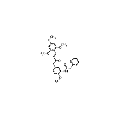 COc1cc(OC)c(/C=C/[S+]([O-])Cc2ccc(OC)c(NC(=O)Cc3ccccn3)c2)c(OC)c1